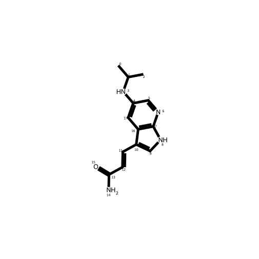 CC(C)Nc1cnc2[nH]cc(C=CC(N)=O)c2c1